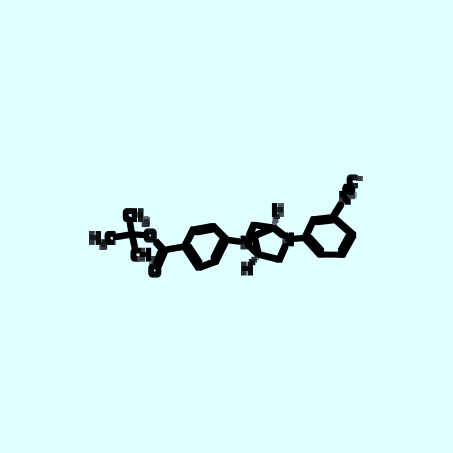 [C-]#[N+]c1cccc(N2C[C@@H]3C[C@H]2CN3c2ccc(C(=O)OC(C)(C)C)cc2)c1